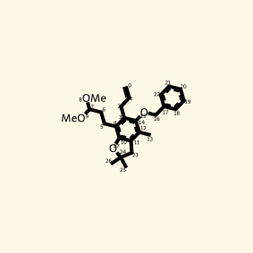 C=CCc1c(CCC(OC)OC)c2c(c(C)c1OCc1ccccc1)CC(C)(C)O2